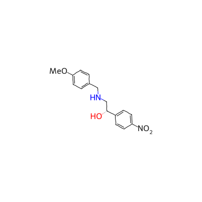 COc1ccc(CNC[C@@H](O)c2ccc([N+](=O)[O-])cc2)cc1